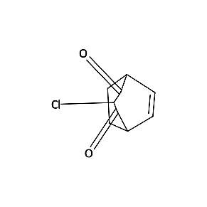 O=C1C2C=CC(CC2)C(=O)C1Cl